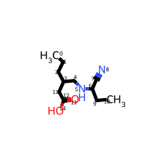 CCCC(CNC(C#N)CC)CC(=O)O